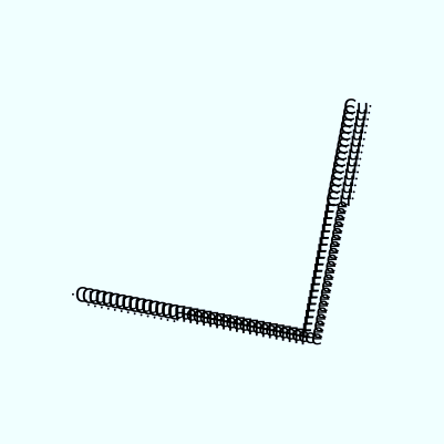 [Cu].[Cu].[Cu].[Cu].[Cu].[Cu].[Cu].[Cu].[Cu].[Cu].[Cu].[Cu].[Cu].[Cu].[Cu].[Cu].[Cu].[Cu].[Cu].[Cu].[Cu].[Cu].[Cu].[Cu].[Cu].[Cu].[Cu].[Cu].[Cu].[Cu].[Fe].[Fe].[Fe].[Fe].[Fe].[Fe].[Fe].[Fe].[Fe].[Fe].[Fe].[Fe].[Fe].[Fe].[Fe].[Fe].[Fe].[Fe].[Fe].[Fe].[Fe].[Fe].[Fe].[Fe].[Fe].[Fe].[Fe].[Fe].[Fe].[Fe].[Fe].[Fe].[Fe].[Fe].[Fe].[Fe].[Fe].[Fe].[Fe].[Fe]